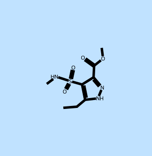 CCc1[nH]nc(C(=O)OC)c1S(=O)(=O)NC